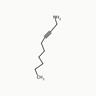 CCCCCCC#CCN